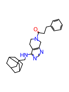 O=C(CCc1ccccc1)N1CCc2c(ncnc2NCC23CC4CC(CC(C4)C2)C3)C1